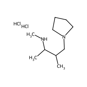 CNC(C)C(C)CN1CCCC1.Cl.Cl